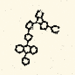 c1ccc(-c2ccc3c(c2)c2cnccc2n3-c2cccc(-c3ccc(-c4c5ccccc5c(-c5ccccc5)c5ccccc45)cc3)n2)cc1